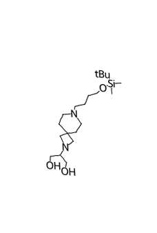 CC(C)(C)[Si](C)(C)OCCCCN1CCC2(CC1)CN(C(CO)CO)C2